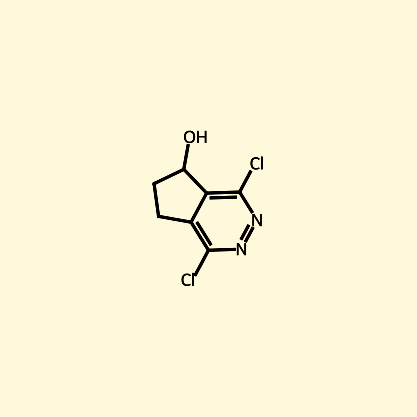 OC1CCc2c(Cl)nnc(Cl)c21